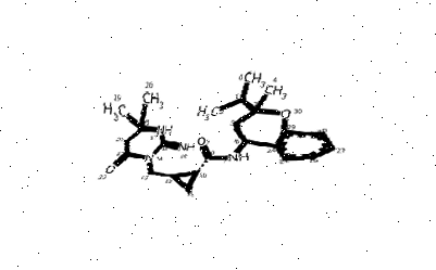 CC(C)C1(C)CC(NC(=O)[C@@H]2C[C@H]2CN2C(=N)NC(C)(C)CC2=O)c2ccccc2O1